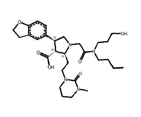 CCCCN(CCCO)C(=O)CN1C[C@H](c2ccc3c(c2)CCO3)[C@@H](C(=O)O)[C@@H]1CCN1CCCN(C)C1=O